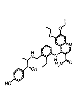 CCOc1cc2ncc(C(N)=O)c(Nc3cccc(CN[C@H](C)[C@@H](O)c4ccc(O)cc4)c3CC)c2cc1OCC